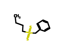 CCCCS(=S)(=S)Cc1ccccc1